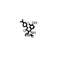 CCC1=C(C(=O)CC2CCC(=C(C)C)CC2)C(c2ccc(O)c(Cl)c2)NC(=O)N1